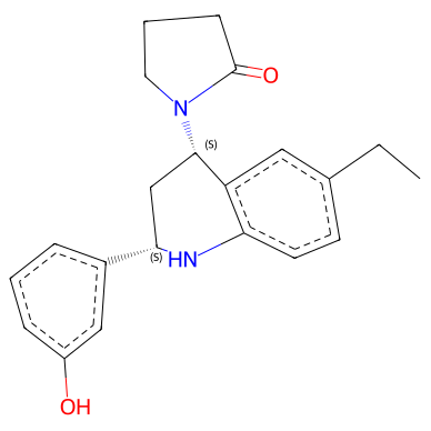 CCc1ccc2c(c1)[C@@H](N1CCCC1=O)C[C@@H](c1cccc(O)c1)N2